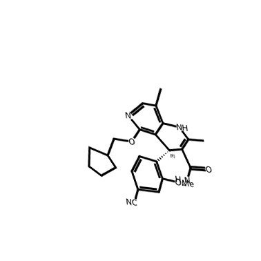 COc1cc(C#N)ccc1[C@H]1C(C(N)=O)=C(C)Nc2c(C)cnc(OCC3CCCC3)c21